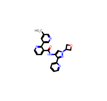 O=C(O)c1cncc(-c2ncccc2C(=O)Nc2cn(C3COC3)nc2-c2ccccn2)c1